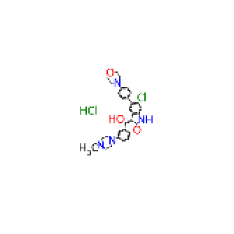 CN1CCN(c2cccc(/C(O)=C3\C(=O)Nc4cc(Cl)c(-c5ccc(N6CCOCC6)cc5)cc43)c2)CC1.Cl